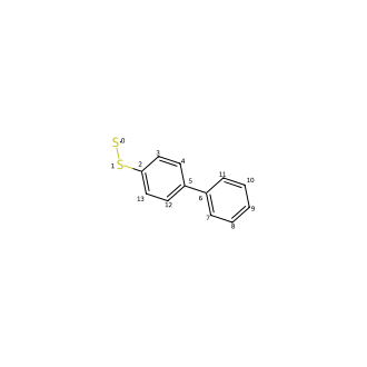 [S]Sc1ccc(-c2ccccc2)cc1